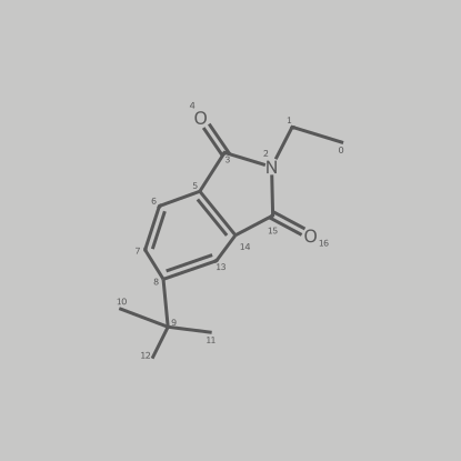 CCN1C(=O)c2ccc(C(C)(C)C)cc2C1=O